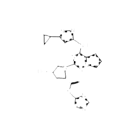 O=C(Nc1ncns1)[C@@H]1C[C@H](O)CN1c1nc(Nc2cc(C3CC3)[nH]n2)c2cccn2n1